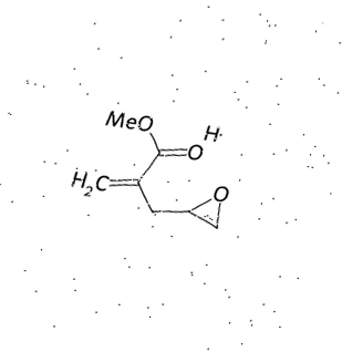 C=C(CC1CO1)C(=O)OC.[H]